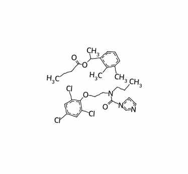 CCCC(=O)OC(C)c1cccc(C)c1C.CCCN(CCOc1c(Cl)cc(Cl)cc1Cl)C(=O)n1ccnc1